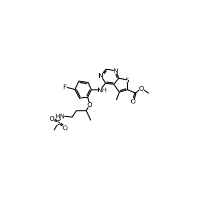 COC(=O)c1sc2ncnc(Nc3ccc(F)cc3OC(C)CCNS(C)(=O)=O)c2c1C